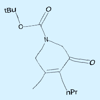 CCCC1=C(C)CN(C(=O)OC(C)(C)C)CC1=O